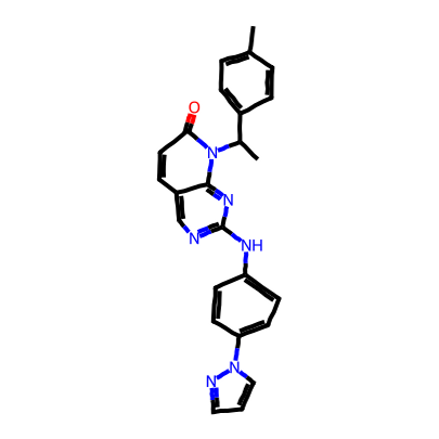 Cc1ccc(C(C)n2c(=O)ccc3cnc(Nc4ccc(-n5cccn5)cc4)nc32)cc1